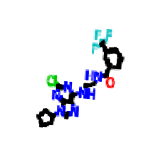 O=C(NCCNc1nc(Cl)nc2c1ncn2C1CCCC1)c1cccc(C(F)(F)F)c1